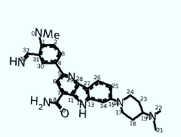 CNc1ccc(-c2cc(C(N)=O)c3[nH]c4cc(N5CCC(N(C)C)CC5)ccc4c3n2)cc1C=N